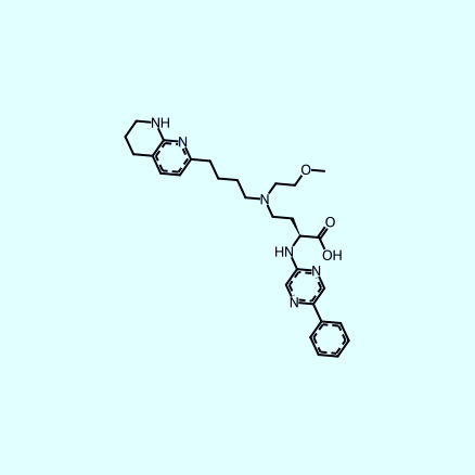 COCCN(CCCCc1ccc2c(n1)NCCC2)CC[C@H](Nc1cnc(-c2ccccc2)cn1)C(=O)O